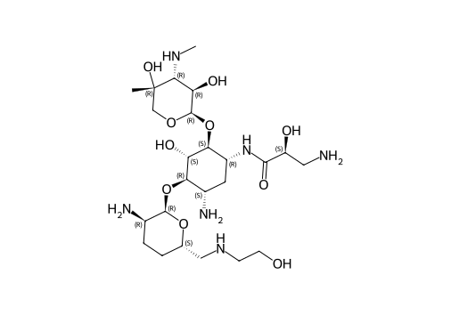 CN[C@@H]1[C@@H](O)[C@@H](O[C@@H]2[C@@H](O)[C@H](O[C@H]3O[C@H](CNCCO)CC[C@H]3N)[C@@H](N)C[C@H]2NC(=O)[C@@H](O)CN)OC[C@]1(C)O